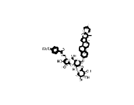 COc1ccc(C(=O)OC[C@@H]2OC(O[C@H]3[C@H](O)[C@@H](OC4O[C@@H](C)[C@H](O)[C@@H](O)[C@H]4O)[C@H](O[C@H]4CC[C@@]5(C)C(=CCC6C7CC8O[C@]9(CC[C@@H](C)CO9)[C@@H](C)C8[C@@]7(C)CCC65)C4)O[C@@H]3CO)[C@H](O)[C@H]2O)cc1